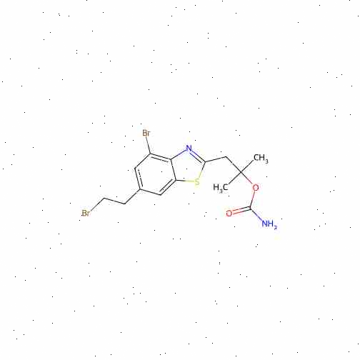 CC(C)(Cc1nc2c(Br)cc(CCBr)cc2s1)OC(N)=O